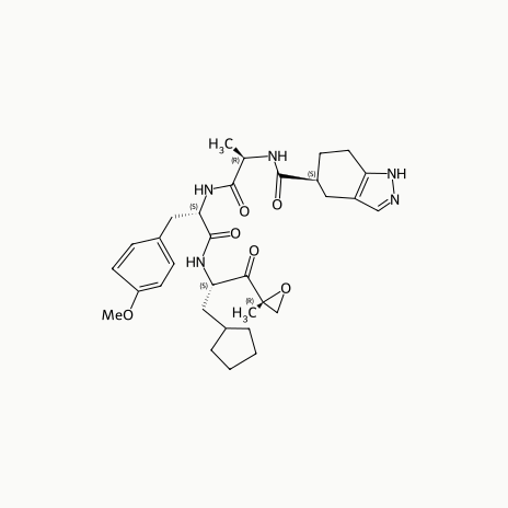 COc1ccc(C[C@H](NC(=O)[C@@H](C)NC(=O)[C@H]2CCc3[nH]ncc3C2)C(=O)N[C@@H](CC2CCCC2)C(=O)[C@@]2(C)CO2)cc1